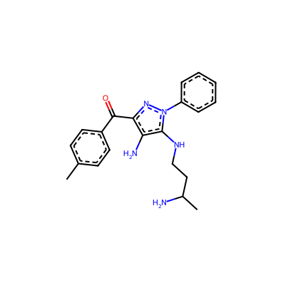 Cc1ccc(C(=O)c2nn(-c3ccccc3)c(NCCC(C)N)c2N)cc1